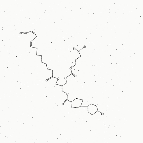 CCCCC/C=C\C/C=C\CCCCCCCC(=O)OCC(COC(=O)OCCCN(CC)CC)COC(=O)C1CCC(C2CCC(CC)CC2)CC1